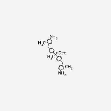 CCCCCCCCCCC(C)(c1ccc(Cc2ccc(N)cc2C)cc1)c1ccc(Cc2ccc(N)cc2C)cc1